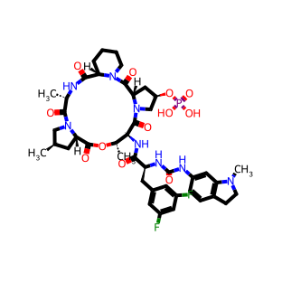 C[C@@H]1C[C@H]2C(=O)O[C@@H](C)[C@H](NC(=O)[C@H](Cc3cc(F)cc(F)c3)NC(=O)Nc3ccc4c(c3)N(C)CC4)C(=O)N3C[C@H](OP(=O)(O)O)C[C@H]3C(=O)N3CCCC[C@H]3C(=O)N[C@@H](C)C(=O)N2C1